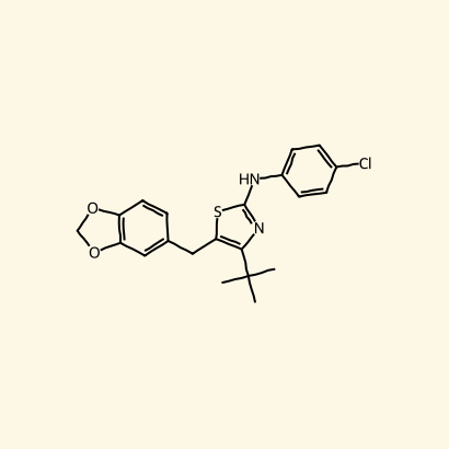 CC(C)(C)c1nc(Nc2ccc(Cl)cc2)sc1Cc1ccc2c(c1)OCO2